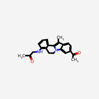 CC(=O)CNc1cccc2c1CCn1c-2c(C)c2ccc(C(C)=O)cc21